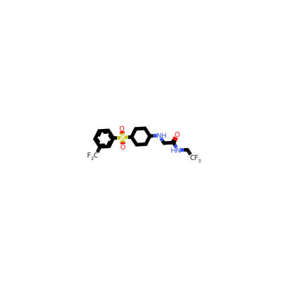 O=C(CNC1CCC(S(=O)(=O)c2cccc(C(F)(F)F)c2)CC1)NCC(F)(F)F